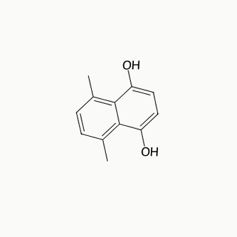 Cc1ccc(C)c2c(O)ccc(O)c12